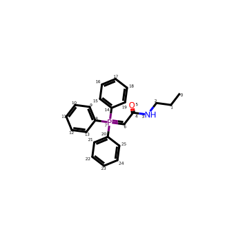 CCCNC(=O)C=P(c1ccccc1)(c1ccccc1)c1ccccc1